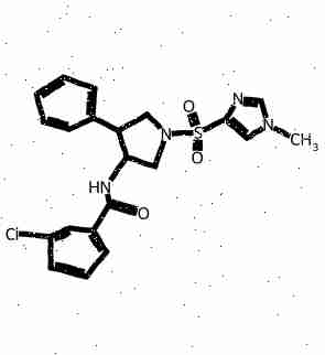 Cn1cnc(S(=O)(=O)N2CC(NC(=O)c3cccc(Cl)c3)C(c3ccccc3)C2)c1